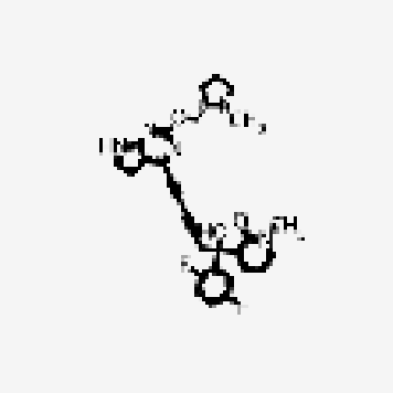 CN1CCC[C@@H]1COc1nc(C#CC#CCC(O)(c2cc(F)ccc2F)c2cccn(C)c2=O)c2cc[nH]c2n1